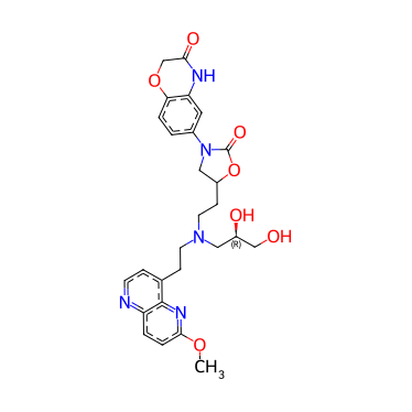 COc1ccc2nccc(CCN(CCC3CN(c4ccc5c(c4)NC(=O)CO5)C(=O)O3)C[C@@H](O)CO)c2n1